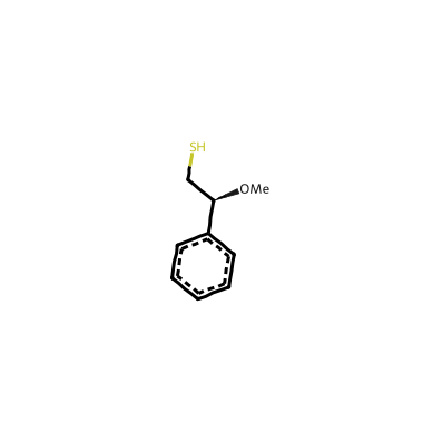 CO[C@H](CS)c1ccccc1